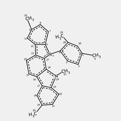 Cc1ccc(-n2c3ccc(C)cc3c3ccc4c5cc(C)ccc5n(C)c4c32)c(C)c1